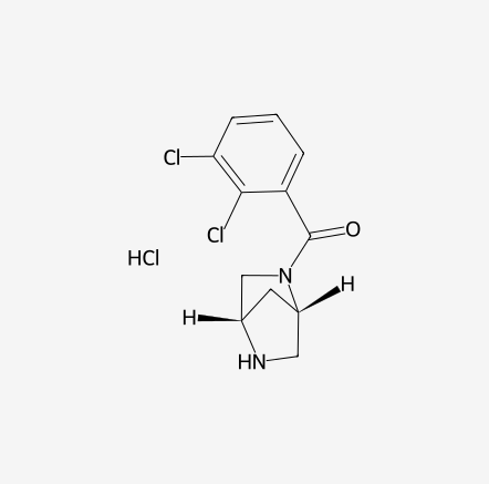 Cl.O=C(c1cccc(Cl)c1Cl)N1C[C@@H]2C[C@H]1CN2